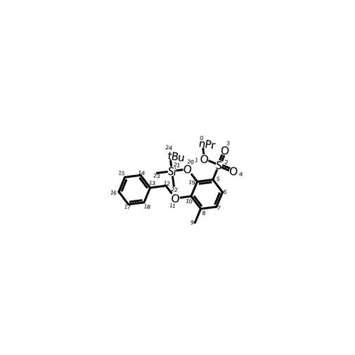 CCCOS(=O)(=O)c1ccc(C)c(OCc2ccccc2)c1O[Si](C)(C)C(C)(C)C